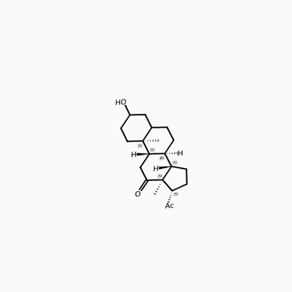 CC(=O)[C@H]1CC[C@H]2[C@@H]3CCC4CC(O)CC[C@]4(C)[C@H]3CC(=O)[C@]12C